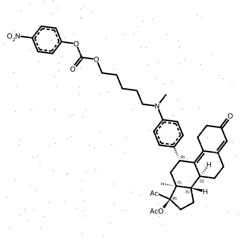 CC(=O)O[C@]1(C(C)=O)CC[C@H]2[C@@H]3CCC4=CC(=O)CCC4=C3[C@@H](c3ccc(N(C)CCCCCOC(=O)Oc4ccc([N+](=O)[O-])cc4)cc3)C[C@@]21C